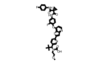 COCCN(C(=O)O)C(c1ccc(-c2cc3nccc(Oc4ccc(NC(=O)C5(C(=O)Nc6ccc(F)cc6)CC5)cc4F)c3s2)nc1)C(C)(C)C